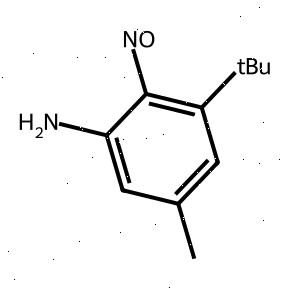 Cc1cc(N)c(N=O)c(C(C)(C)C)c1